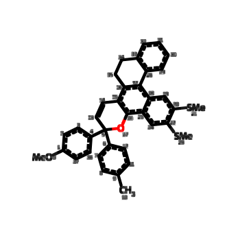 COc1ccc(C2(c3ccc(C)cc3)C=Cc3c4c(c5cc(SC)c(SC)cc5c3O2)-c2ccccc2CC4)cc1